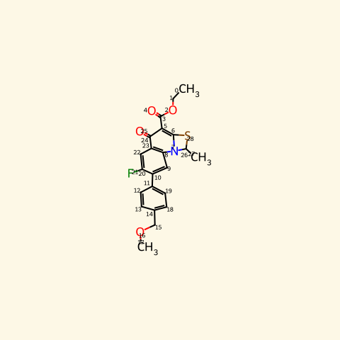 CCOC(=O)c1c2n(c3cc(-c4ccc(COC)cc4)c(F)cc3c1=O)C(C)S2